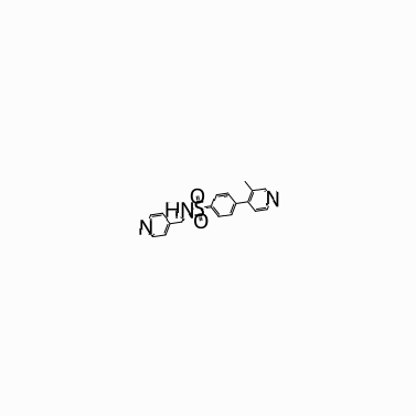 Cc1cnccc1-c1ccc(S(=O)(=O)NCc2ccncc2)cc1